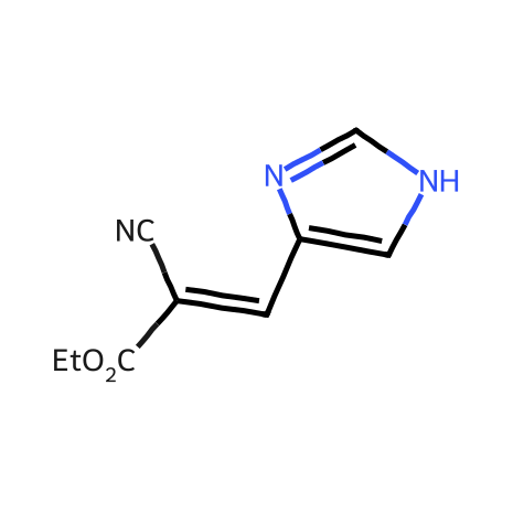 CCOC(=O)/C(C#N)=C/c1c[nH]cn1